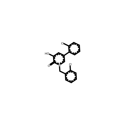 O=c1c(O)cc(-c2ccccc2Cl)cn1Cc1ccccc1Cl